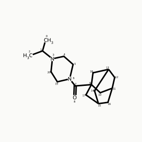 CC(C)N1CCN(C(=O)C23CC4CC(CC(C4)C2)C3)CC1